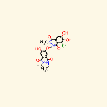 CCn1c(=O)c2cc(OCn3c(=O)c4c(Cl)c(O)c(O)cc4c(=O)n3C)c(O)cc2c(=O)n1C